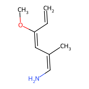 C=C/C(=C\C(C)=C/N)OC